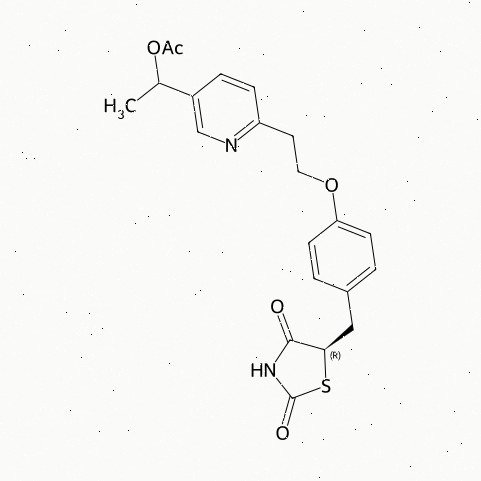 CC(=O)OC(C)c1ccc(CCOc2ccc(C[C@H]3SC(=O)NC3=O)cc2)nc1